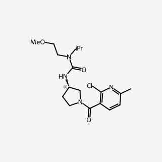 COCCN(C(=O)N[C@@H]1CCN(C(=O)c2ccc(C)nc2Cl)C1)C(C)C